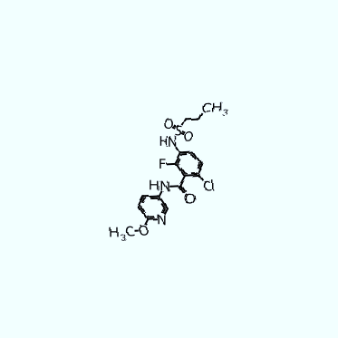 CCCS(=O)(=O)Nc1ccc(Cl)c(C(=O)Nc2ccc(OC)nc2)c1F